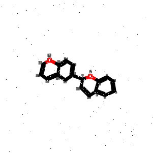 [c]1ccc2c(c1)OC(C1=CC=C3OC=CC=C3C1)C=C2